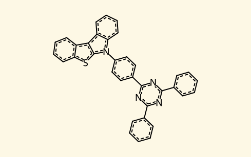 c1ccc(-c2nc(-c3ccccc3)nc(-c3ccc(-n4c5ccccc5c5c6ccccc6sc54)cc3)n2)cc1